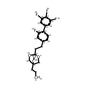 CCCC12COC(CCc3ccc(-c4cc(F)c(F)c(F)c4)c(F)c3)(OC1)OC2